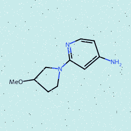 COC1CCN(c2cc(N)ccn2)C1